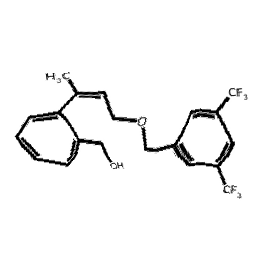 CC(=CCOCc1cc(C(F)(F)F)cc(C(F)(F)F)c1)c1ccccc1CO